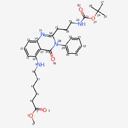 COC(=O)CCCCCNc1cccc2nc(CCCNC(=O)OC(C)(C)C)n(-c3ccccc3)c(=O)c12